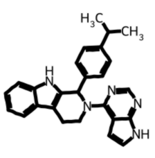 CC(C)c1ccc(C2c3[nH]c4ccccc4c3CCN2c2ncnc3[nH]ccc23)cc1